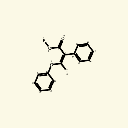 O=C(OF)C(=C(F)Oc1ccccc1)c1ccccc1